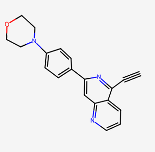 C#Cc1nc(-c2ccc(N3CCOCC3)cc2)cc2ncccc12